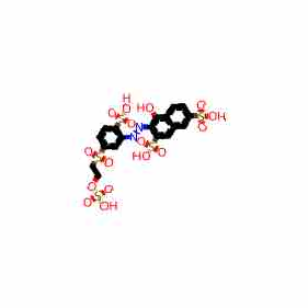 O=S(=O)(O)OCCS(=O)(=O)c1ccc(S(=O)(=O)O)c(/N=N/c2c(S(=O)(=O)O)cc3cc(S(=O)(=O)O)ccc3c2O)c1